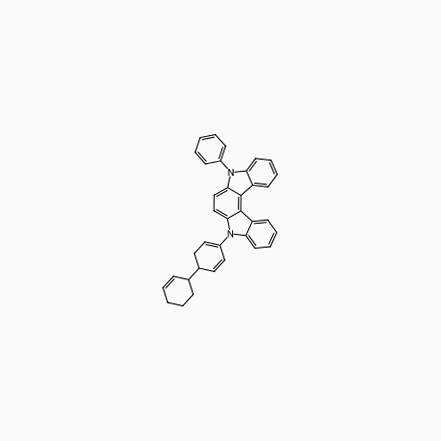 C1=CC(C2C=CC(n3c4ccccc4c4c5c6ccccc6n(-c6ccccc6)c5ccc43)=CC2)CCC1